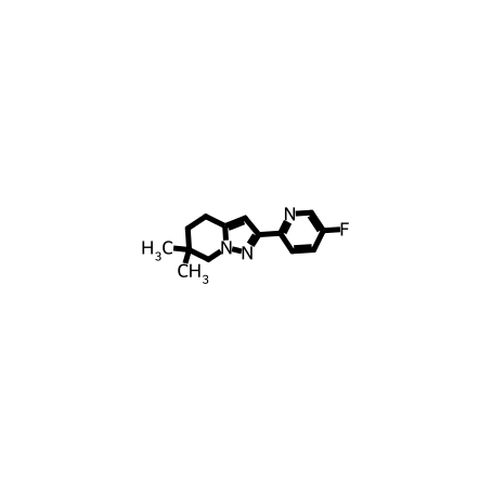 CC1(C)CCc2cc(-c3ccc(F)cn3)nn2C1